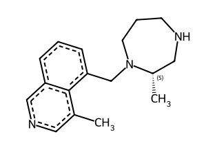 Cc1cncc2cccc(CN3CCCNC[C@@H]3C)c12